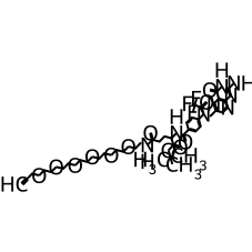 C#CCOCCOCCOCCOCCOCCOCCNC(=O)CCC(NC(=O)c1ccc(N(Cc2cnc3nc(N)[nH]c(=O)c3n2)C(=O)C(F)(F)F)cc1)C(=O)OC(C)(C)C